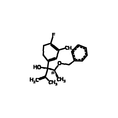 C=C(C)C(O)(C1=CC(C)=C(F)CC1)[C@H](C)OCc1ccccc1